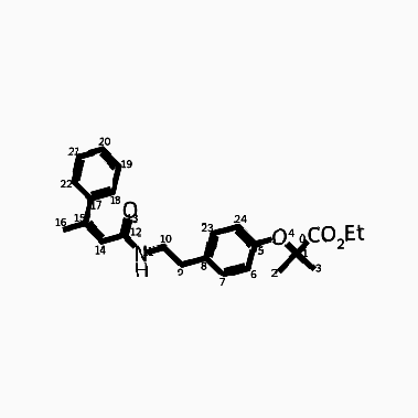 CCOC(=O)C(C)(C)Oc1ccc(CCNC(=O)C=C(C)c2ccccc2)cc1